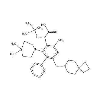 Cc1nc(CN2CCC3(CCC3)CC2)c(-c2ccccc2)c(N2CCC(C)(C)CC2)c1[C@H](OC(C)(C)C)C(=O)O